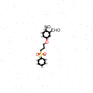 O=Cc1cc(OCCCS(=O)(=O)c2ccccc2)ccc1[N+](=O)[O-]